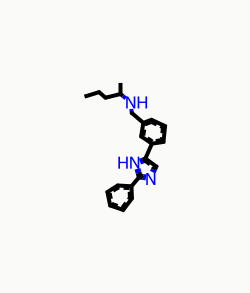 CCCC(C)NCc1cccc(-c2cnc(-c3ccccc3)[nH]2)c1